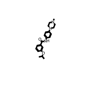 CC(C)Oc1cccc(C(=O)Nc2ccc(N3CCN(C)CC3)cc2)c1